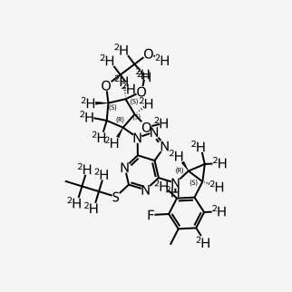 [2H]OC([2H])([2H])C([2H])([2H])O[C@@]1([2H])C([2H])([2H])[C@@]([2H])(n2nnc3c(N([2H])[C@]4([2H])C([2H])([2H])[C@@]4([2H])c4c([2H])c([2H])c(C)c(F)c4[2H])nc(SC([2H])([2H])C([2H])([2H])C)nc32)[C@]([2H])(O[2H])[C@]1([2H])O[2H]